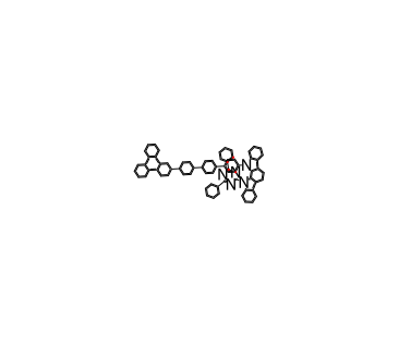 c1ccc(-c2nc(-c3ccccc3)nc(-n3c4ccccc4c4ccc5c6ccccc6n(-c6ccc(-c7ccc(-c8ccc(-c9ccc%10c%11ccccc%11c%11ccccc%11c%10c9)cc8)cc7)cc6)c5c43)n2)cc1